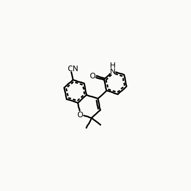 CC1(C)C=C(c2ccc[nH]c2=O)c2cc(C#N)ccc2O1